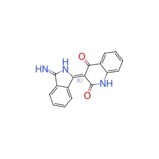 N=C1N/C(=C2/C(=O)Nc3ccccc3C2=O)c2ccccc21